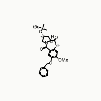 COc1cc2c(cc1OCc1ccccc1)C(=O)N1C[C@H](O[Si](C)(C)C(C)(C)C)C[C@H]1C(=O)N2